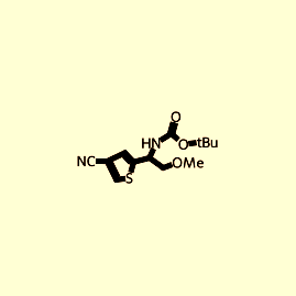 COCC(NC(=O)OC(C)(C)C)c1cc(C#N)cs1